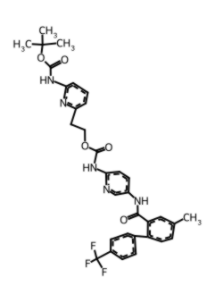 Cc1ccc(-c2ccc(C(F)(F)F)cc2)c(C(=O)Nc2ccc(NC(=O)OCCc3cccc(NC(=O)OC(C)(C)C)n3)nc2)c1